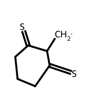 [CH2]C1C(=S)CCCC1=S